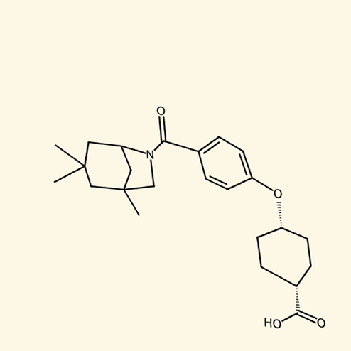 CC1(C)CC2CC(C)(CN2C(=O)c2ccc(O[C@H]3CC[C@@H](C(=O)O)CC3)cc2)C1